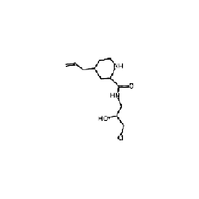 C=CCC1CCNC(C(=O)NC[C@H](O)CCl)C1